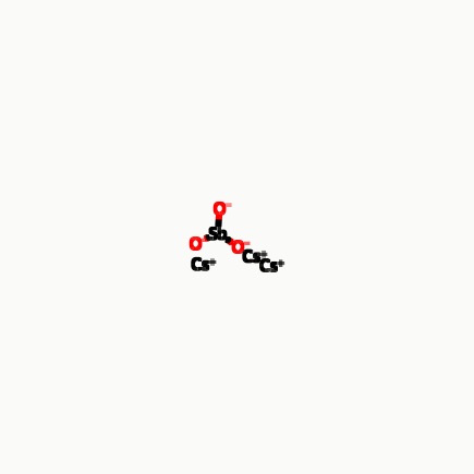 [Cs+].[Cs+].[Cs+].[O-][Sb]([O-])[O-]